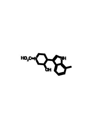 Cc1cccc2c(C3CCN(C(=O)O)CC3O)c[nH]c12